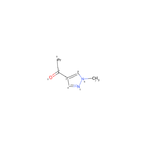 CC(C)C(=O)c1cnn(C)c1